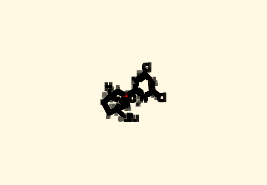 CC(C)(C)[C@]12CC[C@@H](CN(c3nc(Cl)nc(Cl)n3)C1)N2C(=O)O